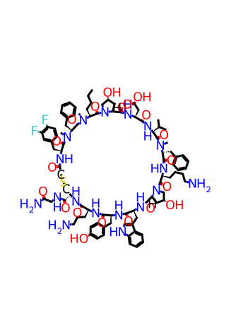 CCCC[C@H]1C(=O)N2C[C@H](O)C[C@@H]2C(=O)N[C@@H](CC(=O)O)C(=O)N[C@@H](C(C)C)C(=O)N(C)[C@H](Cc2ccccc2)C(=O)N[C@@H](CCCCN)C(=O)N2C[C@H](O)C[C@@H]2C(=O)N[C@@H](Cc2c[nH]c3ccccc23)C(=O)N[C@@H](Cc2ccc(O)cc2)C(=O)N[C@@H](CCCN)C(=O)N[C@H](C(=O)NCC(N)=O)CSCC(=O)N[C@@H](Cc2ccc(F)c(F)c2)C(=O)N(C)[C@@H](Cc2ccccc2)C(=O)N1C